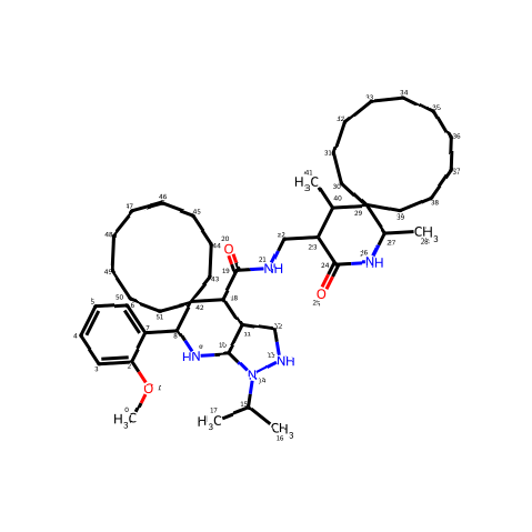 COc1ccccc1C1NC2C(CNN2C(C)C)C(C(=O)NCC2C(=O)NC(C)C3(CCCCCCCCCC3)C2C)C12CCCCCCCCC2